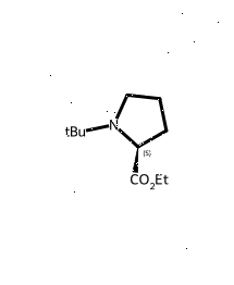 CCOC(=O)[C@@H]1CCCN1C(C)(C)C